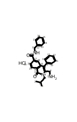 CC(C)Cn1c(CN)c(-c2ccccc2)c2cc(C(=O)NCc3ccccc3)ccc2c1=O.Cl